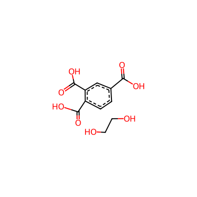 O=C(O)c1ccc(C(=O)O)c(C(=O)O)c1.OCCO